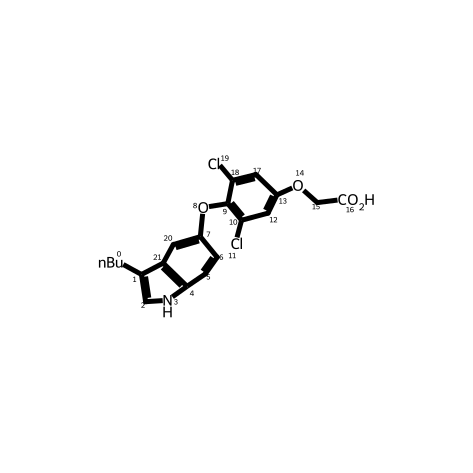 CCCCc1c[nH]c2ccc(Oc3c(Cl)cc(OCC(=O)O)cc3Cl)cc12